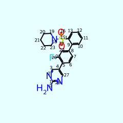 Nc1ncc(-c2ccc(-c3ccccc3S(=O)(=O)N3CCCCC3)cc2F)cn1